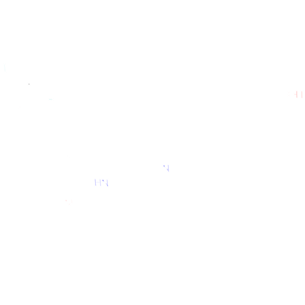 COc1ccc(OC(F)(F)F)cc1CNC1CCCN(CCCCCCO)C1c1ccccc1